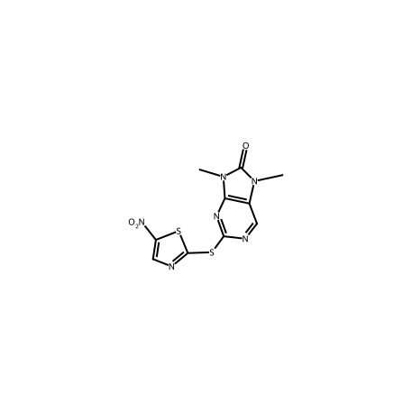 Cn1c(=O)n(C)c2nc(Sc3ncc([N+](=O)[O-])s3)ncc21